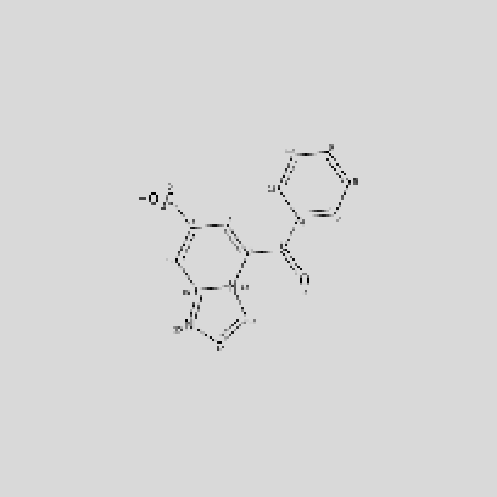 O=C(O)c1cc(C(=O)c2ccccc2)n2ccnc2c1